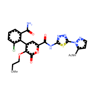 COCCOc1c(-c2c(Cl)cccc2C(N)=O)cc(C(=O)Nc2nnc(-n3nccc3NC(C)=O)s2)oc1=O